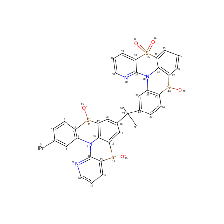 CC(C)c1ccc2c(c1)N1c3ncccc3[S+]([O-])c3cc(C(C)(C)c4ccc5c(c4)N4c6ncccc6S(=O)(=O)c6cccc(c64)[S+]5[O-])cc(c31)[S+]2[O-]